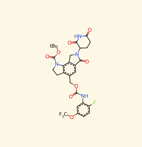 CC(C)(C)OC(=O)N1CCc2c(COC(=O)Nc3cc(OC(F)(F)F)ccc3F)cc3c(c21)CN(C1CCC(=O)NC1=O)C3=O